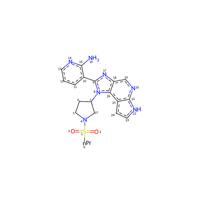 CCCS(=O)(=O)N1CCC(n2c(-c3cccnc3N)nc3cnc4[nH]ccc4c32)C1